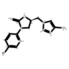 Cc1cn(C[C@H]2CN(c3ccc(Br)cn3)C(=O)O2)nn1